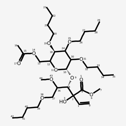 C=CC(O)(C(=O)OC)[C@@H](O[C@@H]1OC(COC(C)=O)[C@@H](OCCCC)C(OCCCC)C1OCCCC)C(COCCCC)OC